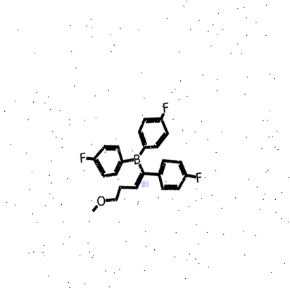 COCC/C=C(\B(c1ccc(F)cc1)c1ccc(F)cc1)c1ccc(F)cc1